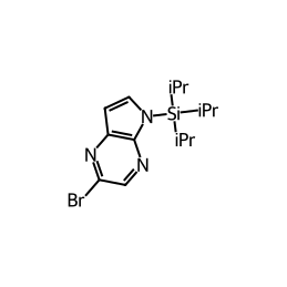 CC(C)[Si](C(C)C)(C(C)C)n1ccc2nc(Br)cnc21